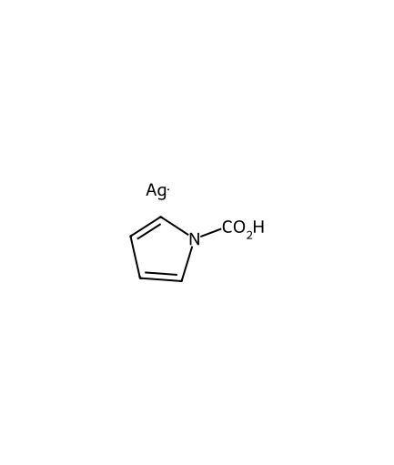 O=C(O)n1cccc1.[Ag]